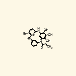 C=CC(=O)Nc1cccc(Nc2nc(Nc3ccc(O)c(O)c3O)ncc2Br)c1